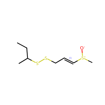 CCC(C)SSC/C=C/[S+](C)[O-]